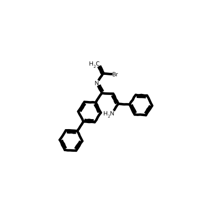 C=C(Br)/N=C(\C=C(/N)c1ccccc1)c1ccc(-c2ccccc2)cc1